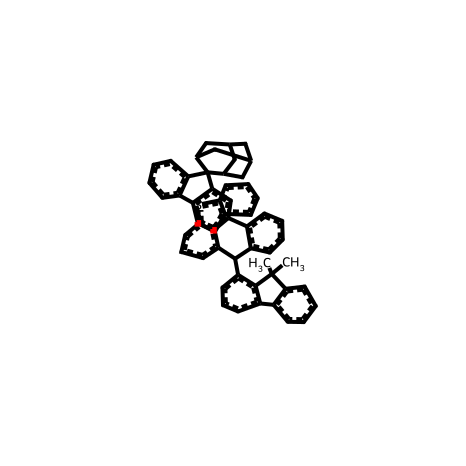 CC1(C)c2ccccc2-c2cccc(C(c3ccccc3-c3ccc4c(c3)C3(c5ccccc5-4)C4CC5CC(C4)CC3C5)c3cccc4sc5ccccc5c34)c21